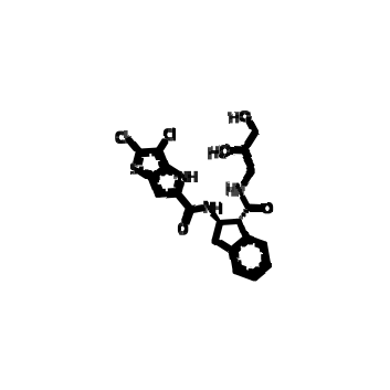 O=C(N[C@@H]1Cc2ccccc2[C@H]1C(=O)NCC(O)CO)c1cc2sc(Cl)c(Cl)c2[nH]1